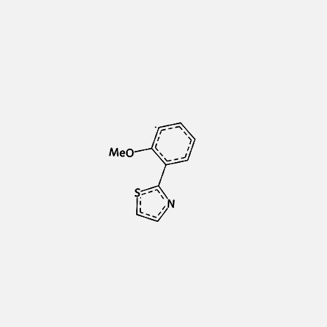 COc1[c]cccc1-c1nccs1